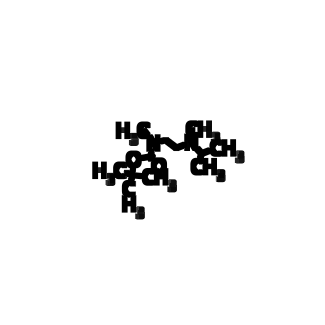 CC(C)N(C)CCN(C)C(=O)OC(C)(C)C